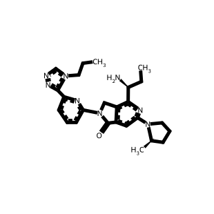 CCCn1cnnc1-c1cccc(N2Cc3c(cc(N4CCC[C@H]4C)nc3[C@@H](N)CC)C2=O)n1